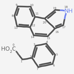 O=C(O)Cc1ccccc1.c1ccc2c(c1)ccc1c[nH]cc12